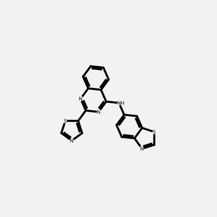 c1ccc2c(Nc3ccc4ncsc4c3)nc(-c3cncs3)nc2c1